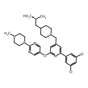 C[C@@H](CC1CCN(Cc2cc(Oc3cnc(N4CCN(C)CC4)nc3)nc(-c3cc(Cl)cc(Cl)c3)c2)CC1)C(=O)O